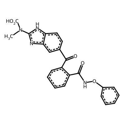 CN(C(=O)O)c1nc2cc(C(=O)c3ccccc3C(=O)NOc3ccccc3)ccc2[nH]1